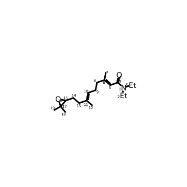 CCN(CC)C(=O)C=C(C)CCC=C(C)CCC1OC1(C)C